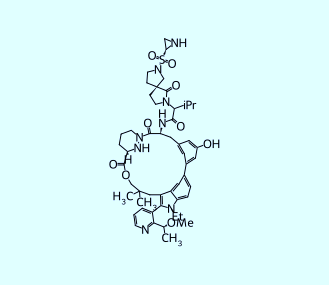 CCn1c(-c2cccnc2[C@H](C)OC)c2c3cc(ccc31)-c1cc(O)cc(c1)C[C@H](NC(=O)C(C(C)C)N1CC[C@]3(CCN(S(=O)(=O)[C@H]4CN4)C3)C1=O)C(=O)N1CCC[C@H](N1)C(=O)OCC(C)(C)C2